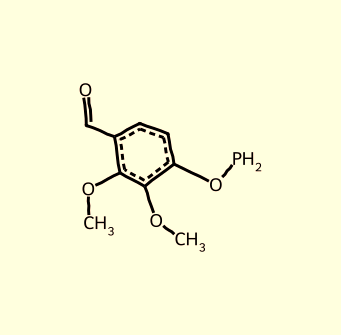 COc1c(C=O)ccc(OP)c1OC